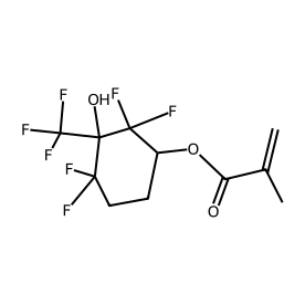 C=C(C)C(=O)OC1CCC(F)(F)C(O)(C(F)(F)F)C1(F)F